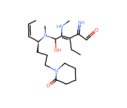 C/C=C\[C@H](CCCN1CCCCC1=O)N(C)C(O)/C(NC)=C(\CC)C(=N)C=O